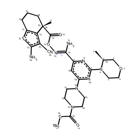 C[C@H]1COCCN1c1nc(/C(N)=N/OC(=O)[C@@]2(C)CCCc3sc(N)c(C#N)c32)cc(N2CCN(C(=O)OC(C)(C)C)CC2)n1